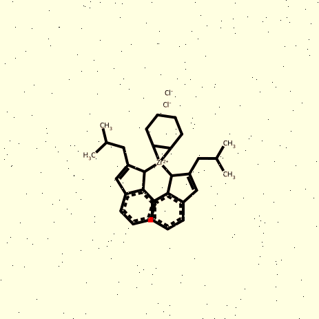 CC(C)CC1=Cc2ccccc2[CH]1[Zr+2]1([CH]2C(CC(C)C)=Cc3ccccc32)[CH]2CCCC[CH]21.[Cl-].[Cl-]